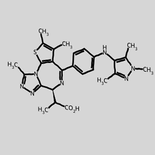 Cc1nn(C)c(C)c1Nc1ccc(C2=N[C@@H](C(C)C(=O)O)c3nnc(C)n3-c3sc(C)c(C)c32)cc1